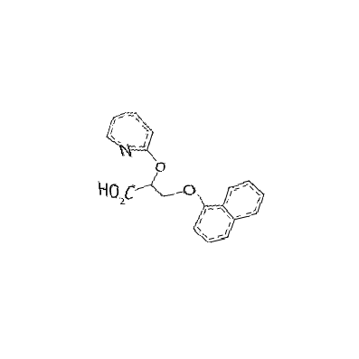 O=C(O)C(COc1cccc2ccccc12)Oc1ccccn1